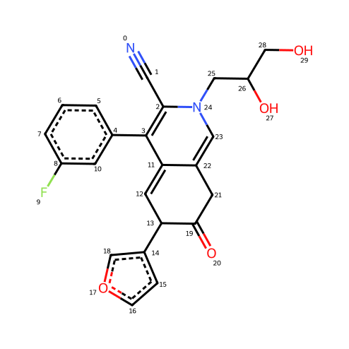 N#CC1=C(c2cccc(F)c2)C2=CC(c3ccoc3)C(=O)CC2=CN1CC(O)CO